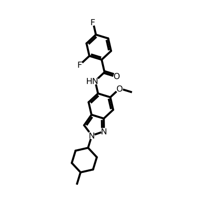 COc1cc2nn(C3CCC(C)CC3)cc2cc1NC(=O)c1ccc(F)cc1F